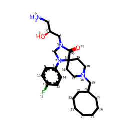 NC[C@H](O)CN1CN(c2ccc(F)cc2)C2(CCN(CC3CCCCCCC3)CC2)C1=O